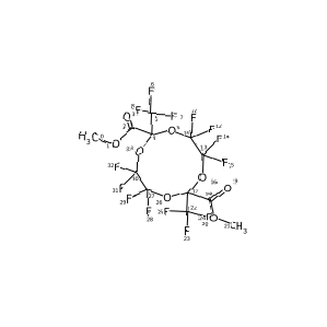 COC(=O)C1(C(F)(F)F)OC(F)(F)C(F)(F)OC(C(=O)OC)(C(F)(F)F)OC(F)(F)C(F)(F)O1